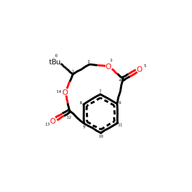 CC(C)(C)C1COC(=O)c2ccc(cc2)C(=O)O1